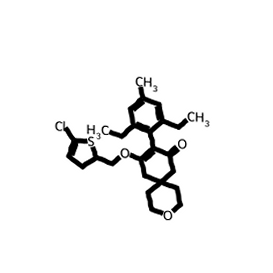 CCc1cc(C)cc(CC)c1C1=C(OCC2CC=C(Cl)S2)CC2(CCOCC2)CC1=O